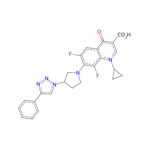 O=C(O)c1cn(C2CC2)c2c(F)c(N3CCC(n4cc(-c5ccccc5)nn4)C3)c(F)cc2c1=O